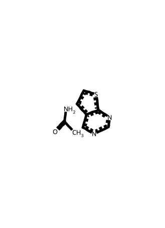 CC(N)=O.c1ncc2ccsc2n1